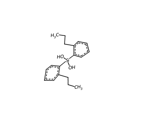 CCCc1ccccc1[Si](O)(O)c1ccccc1CCC